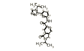 CC(C)N1Cc2cnc(C(=O)Nc3cccc(-c4nncn4C(C)C)n3)cc2C1=O